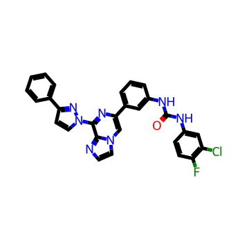 O=C(Nc1cccc(-c2cn3ccnc3c(-n3ccc(-c4ccccc4)n3)n2)c1)Nc1ccc(F)c(Cl)c1